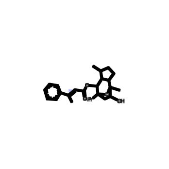 C/C(=C\C(=O)OC1C2C(C)CCC2C2(C)OC1(C(C)C)CC2O)c1ccccc1